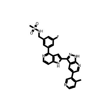 Cc1ccncc1-c1cnc2[nH]nc(-c3cc4c(-c5cc(F)cc(CNS(C)(=O)=O)c5)nccc4[nH]3)c2c1